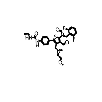 CCNC(=O)Nc1ccc(-c2sc(N(C=O)Cc3c(F)cccc3F)c(C=O)c2CN(C)CCOC)cc1